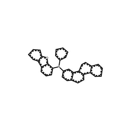 c1ccc(N(c2ccc3ccc4c5ccccc5ccc4c3c2)c2cccc3c2oc2ccccc23)cc1